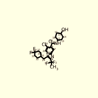 CC(F)(F)c1nc2cc(C(=O)NC3CCC(O)CC3)c(Cl)cn2c1CC1CCC(F)(F)CC1